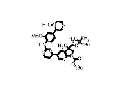 COc1cc(C2COCCN2C)ccc1Nc1nccc(-c2cnc3c(c2)C(C)(CO[Si](C)(C)C(C)(C)C)CN3C(=O)OC(C)(C)C)n1